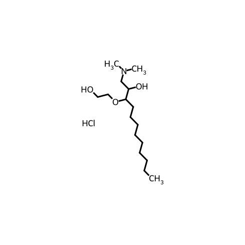 CCCCCCCCCC(OCCO)C(O)CN(C)C.Cl